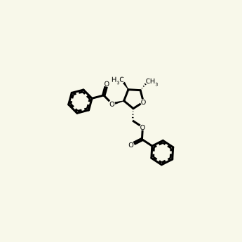 C[C@@H]1[C@H](OC(=O)c2ccccc2)[C@@H](COC(=O)c2ccccc2)O[C@H]1C